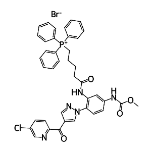 COC(=O)Nc1ccc(-n2cc(C(=O)c3ccc(Cl)cn3)cn2)c(NC(=O)CCCC[P+](c2ccccc2)(c2ccccc2)c2ccccc2)c1.[Br-]